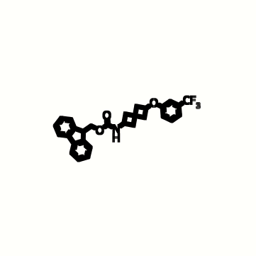 O=C(NC1CC2(C1)CC(Oc1cccc(C(F)(F)F)c1)C2)OCC1c2ccccc2-c2ccccc21